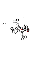 N#Cc1ccc(-c2cc(-c3ccc(C(F)(F)F)cc3C(F)(F)F)ccc2-n2c3ccc(-n4c5ccccc5c5ccccc54)cc3c3cc(-n4c5ccccc5c5ccccc54)ccc32)c(-n2c3ccc(-n4c5ccccc5c5ccccc54)cc3c3cc(-n4c5ccccc5c5ccccc54)ccc32)c1